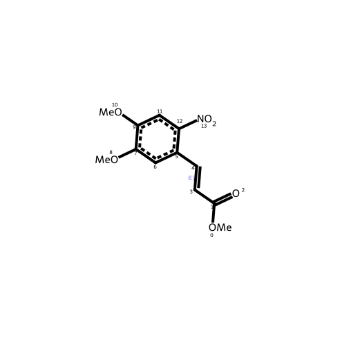 COC(=O)/C=C/c1cc(OC)c(OC)cc1[N+](=O)[O-]